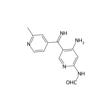 Cc1cc(C(=N)c2cnc(NC=O)cc2N)ccn1